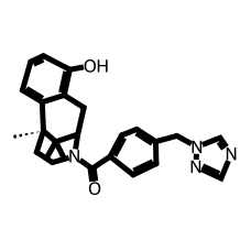 CC1(C)C2Cc3c(O)cccc3[C@]1(C)CCN2C(=O)c1ccc(Cn2cncn2)cc1